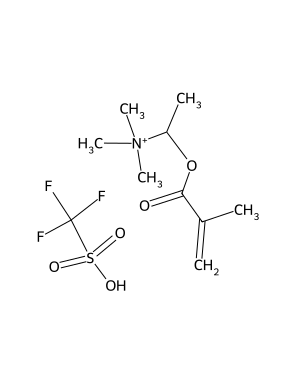 C=C(C)C(=O)OC(C)[N+](C)(C)C.O=S(=O)(O)C(F)(F)F